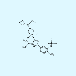 CC(C)n1nc(-c2cnc(N)c(OC(F)(F)F)c2)cc1[C@H]1[C@@H]2C[C@H](N(C)C3COC3)C[C@@H]21